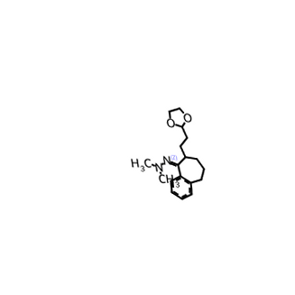 CN(C)/N=C1\c2ccccc2CCCC1CCC1OCCO1